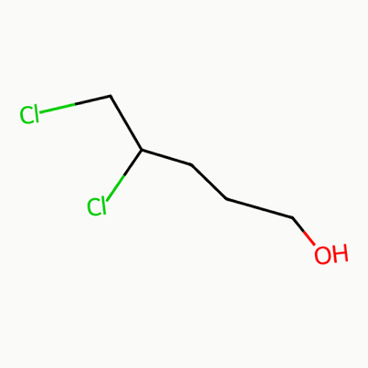 OCCCC(Cl)CCl